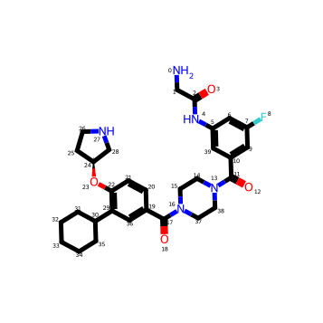 NCC(=O)Nc1cc(F)cc(C(=O)N2CCN(C(=O)c3ccc(O[C@H]4CCNC4)c(C4CCCCC4)c3)CC2)c1